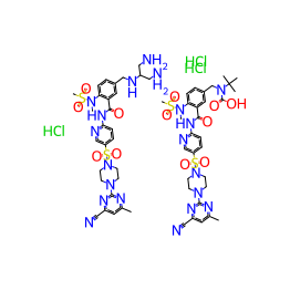 Cc1cc(C#N)nc(N2CCN(S(=O)(=O)c3ccc(NC(=O)c4cc(CN(C(=O)O)C(C)(C)C)ccc4N(C)S(C)(=O)=O)nc3)CC2)n1.Cc1cc(C#N)nc(N2CCN(S(=O)(=O)c3ccc(NC(=O)c4cc(CNC(CN)CN)ccc4N(C)S(C)(=O)=O)nc3)CC2)n1.Cl.Cl.Cl